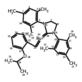 Cc1cc(C)c(N2CCN(c3c(C)cc(C)cc3C)[C]2=[Ru-2]=[CH]c2ccccc2OC(C)C)c(C)c1